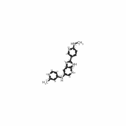 CNc1ccc(-c2nc3cc(Nc4ccnc(C)c4)cnc3[nH]2)cn1